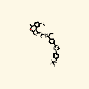 CC/C(=N\NC(=S)/N=C1\SCC(=O)N1c1cc(OC)ccc1C(C)C)c1ccc(-c2ncn(-c3ccc(OC(F)(F)F)cc3)n2)cc1